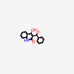 O=C(c1ccccc1)c1c(O)c2ccccc2[nH]c1=O